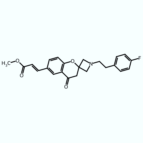 COC(=O)C=Cc1ccc2c(c1)C(=O)CC1(CN(CCc3ccc(F)cc3)C1)O2